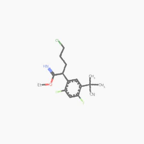 CCOC(=N)C(CCCCl)c1cc(C(C)(C)C#N)c(F)cc1F